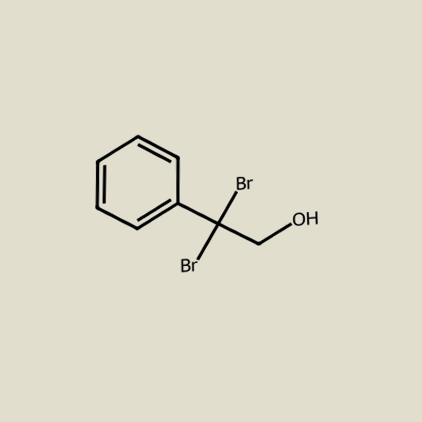 OCC(Br)(Br)c1ccccc1